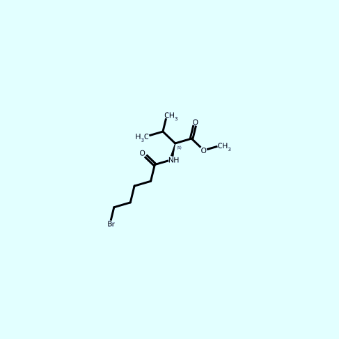 COC(=O)[C@@H](NC(=O)CCCCBr)C(C)C